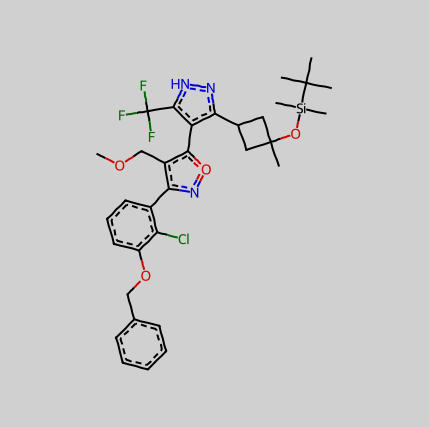 COCc1c(-c2cccc(OCc3ccccc3)c2Cl)noc1-c1c(C2CC(C)(O[Si](C)(C)C(C)(C)C)C2)n[nH]c1C(F)(F)F